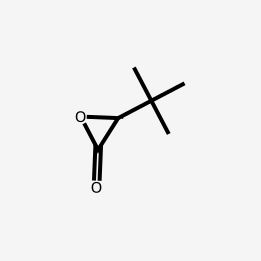 CC(C)(C)[C]1OC1=O